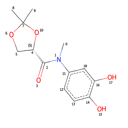 CN(C(=O)[C@@H]1COC(C)(C)O1)c1ccc(O)c(O)c1